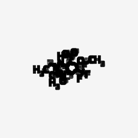 CCOc1c(C(F)(F)F)cc([N+](=O)[O-])c(NN(CC)CC)c1[N+](=O)[O-]